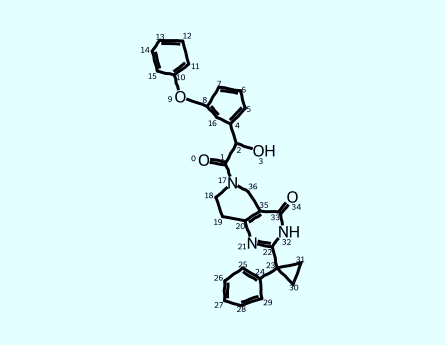 O=C(C(O)c1cccc(Oc2ccccc2)c1)N1CCc2nc(C3(c4ccccc4)CC3)[nH]c(=O)c2C1